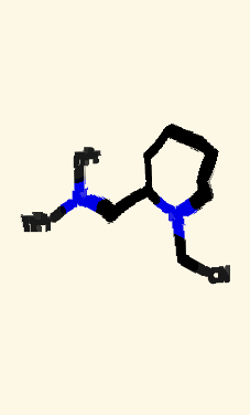 CCCN(CCC)CC1CCCCN1CC#N